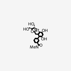 CCc1c(O)cc(O)c(-c2cccc(C(=O)NC)c2)c1CC1O[C@@H](CO)[C@H](CO)O1